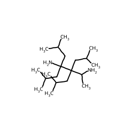 CC(C)CC(N)(CC(C)C)C(CC(C)C)(CC(C)C)C(C)N